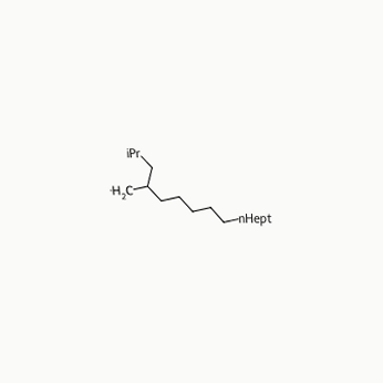 [CH2]C(CCCCCCCCCCCC)CC(C)C